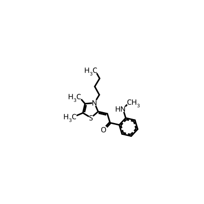 CCCCN1C(C)=C(C)S/C1=C\C(=O)c1ccccc1NC